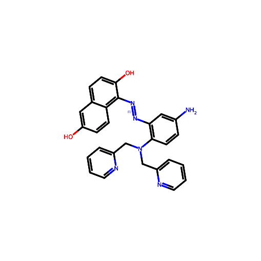 Nc1ccc(N(Cc2ccccn2)Cc2ccccn2)c(/N=N/c2c(O)ccc3cc(O)ccc23)c1